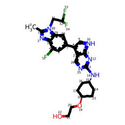 Cc1nc2c(F)cc(-c3c[nH]c4nc(N[C@H]5CC[C@H](OCCO)CC5)ncc34)cc2n1CC(F)F